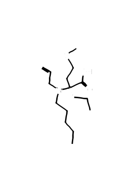 C=CCN(CCCCC)[C@@](CCC)(CCSC)C(=O)O